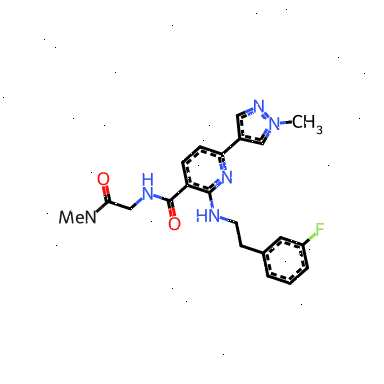 CNC(=O)CNC(=O)c1ccc(-c2cnn(C)c2)nc1NCCc1cccc(F)c1